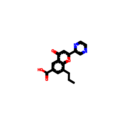 CCCc1cc(C(=O)O)cc2c(=O)cc(-c3cnccn3)oc12